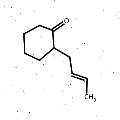 C/C=C/CC1CCCCC1=O